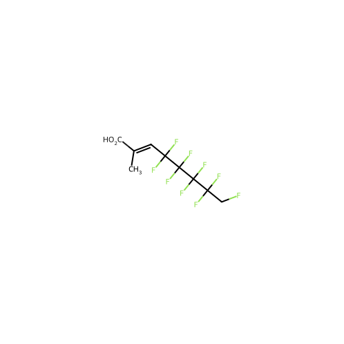 CC(=CC(F)(F)C(F)(F)C(F)(F)C(F)(F)CF)C(=O)O